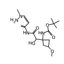 C=C(/C=C\N(C)N)NC(=O)C(O)C1(NC(=O)OC(C)(C)C)CC(OC)C1